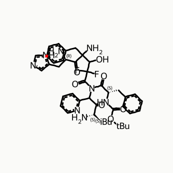 CC[C@H](C)[C@H](N)C(=O)C(c1ccccn1)N(C(=O)[C@H](Cc1ccccc1)NC(=O)OC(C)(C)C)C(=O)C(F)(F)C(O)C(N)(Cc1ccccc1)C(=O)[C@H](N)Cc1cnc[nH]1